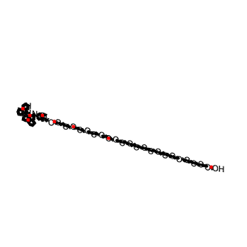 CCOCc1nc2c(NC(c3ccccc3)(c3ccccc3)c3ccccc3)nc3ccccc3c2n1CC(C)(C)OCCOCCOCCOCCOCCOCCOCCOCCOCCOCCOCCOCCOCCOCCOCCOCCOCCOCCOCCOCCOCCOCCOCCOCCO